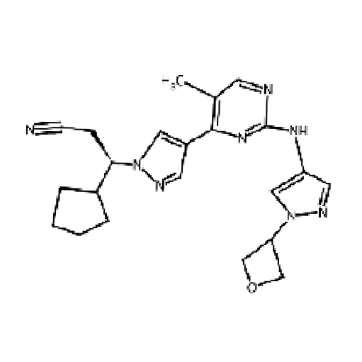 Cc1cnc(Nc2cnn(C3COC3)c2)nc1-c1cnn([C@H](CC#N)C2CCCC2)c1